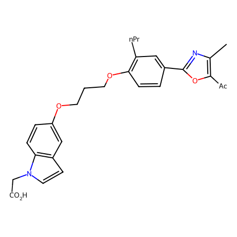 CCCc1cc(-c2nc(C)c(C(C)=O)o2)ccc1OCCCOc1ccc2c(ccn2CC(=O)O)c1